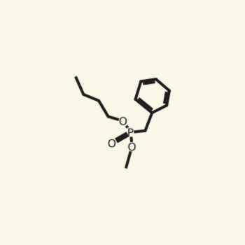 CCCCOP(=O)(Cc1ccccc1)OC